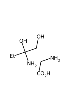 CCC(N)(O)CO.NCC(=O)O